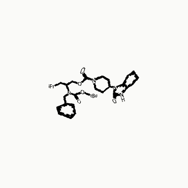 CC(C)CC(COC(=O)N1CCC(n2c(=O)[nH]c3ccccc32)CC1)N(Cc1ccccc1)C(=O)OC(C)(C)C